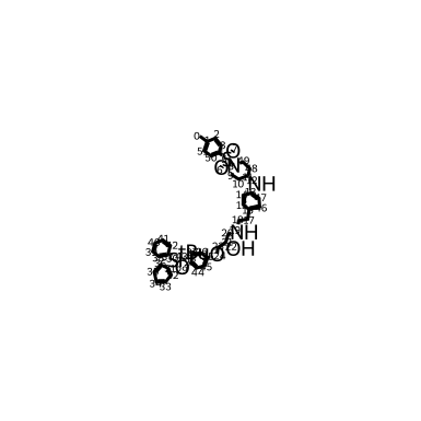 Cc1ccc(S(=O)(=O)N2CCC(Nc3ccc(CCNCC(O)COc4ccc(O[Si](c5ccccc5)(c5ccccc5)C(C)(C)C)cc4)cc3)CC2)cc1